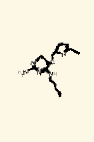 CCCCNc1nc(N)ncc1OCC1=CCC(C)=N1